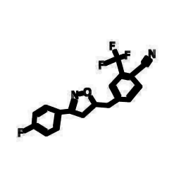 N#Cc1ccc(CC2CC(c3ccc(F)cc3)=NO2)cc1C(F)(F)F